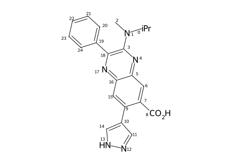 CC(C)N(C)c1nc2cc(C(=O)O)c(-c3cn[nH]c3)cc2nc1-c1ccccc1